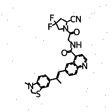 C/C(=C\c1ccc2nccc(C(=O)NCC(=O)N3CC(F)(F)C[C@H]3C#N)c2c1)c1ccc2c(c1)SCN2C